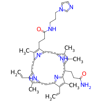 C=CC1=C(C)c2nc1cc1[nH]c(cc3nc(cc4[nH]c(c(C)c4C)c2CCC(N)=O)C(CCC(=O)NCCCn2ccnc2)=C3C)c(C=C)c1C